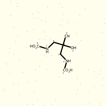 N#CC(O)(CNC(=O)O)CNC(=O)O